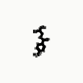 CCCCC(CC)COC(=O)c1ccc(N)cc1